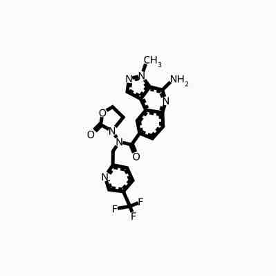 Cn1ncc2c3cc(C(=O)N(Cc4ccc(C(F)(F)F)cn4)N4CCOC4=O)ccc3nc(N)c21